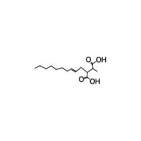 CCCCCCCC=CCC(C(=O)O)C(C)C(=O)O